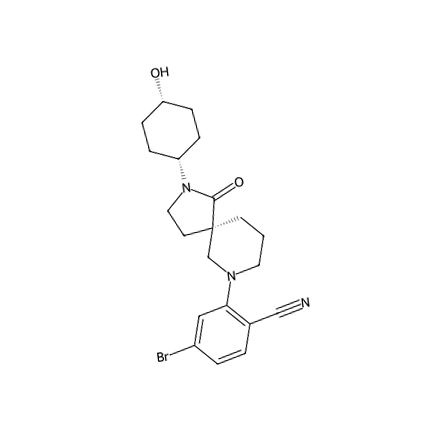 N#Cc1ccc(Br)cc1N1CCC[C@@]2(CCN([C@H]3CC[C@@H](O)CC3)C2=O)C1